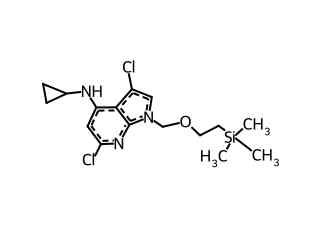 C[Si](C)(C)CCOCn1cc(Cl)c2c(NC3CC3)cc(Cl)nc21